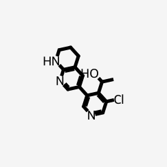 CC(O)c1c(Cl)cncc1-c1cnc2c(c1)CCCN2